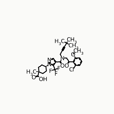 COc1cccc(Cl)c1C(=O)CN(CC#CC(C)(C)C)C(=O)c1cnn([C@H]2CC[C@](C)(C(=O)O)CC2)c1C(F)(F)F